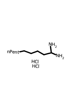 CCCCCCCCCC(N)N.Cl.Cl